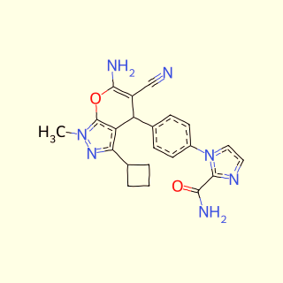 Cn1nc(C2CCC2)c2c1OC(N)=C(C#N)C2c1ccc(-n2ccnc2C(N)=O)cc1